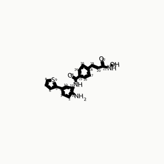 Nc1ccc(-c2cccs2)cc1NC(=O)c1ccc(C=CC(=O)NO)cc1